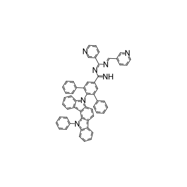 N=C(/N=C(\N=C\c1cccnc1)c1cccnc1)c1cc(-c2ccccc2)c(-n2c3ccccc3c3c2ccc2c4ccccc4n(-c4ccccc4)c23)c(-c2ccccc2)c1